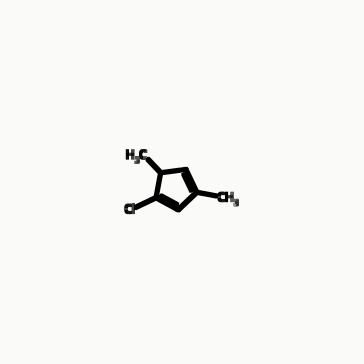 CC1=CC(C)C(Cl)=C1